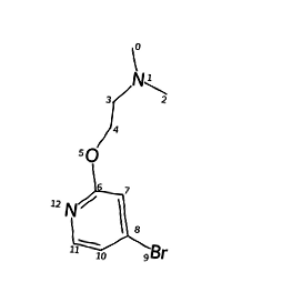 CN(C)CCOc1cc(Br)ccn1